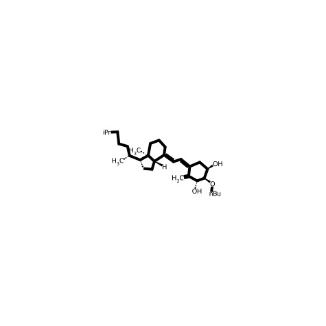 C=C1/C(=C\C=C2/CCC[C@]3(C)[C@@H]([C@H](C)CCCC(C)C)CC[C@@H]23)C[C@@H](O)[C@@H](OCCCC)[C@@H]1O